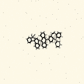 CC1(C)c2ccccc2-c2c1cc(-c1c3ccccc3c(-c3ccc4c(c3)C=Cc3ccccc3N4C3=CC=CCC3)c3ccccc13)c1ccccc21